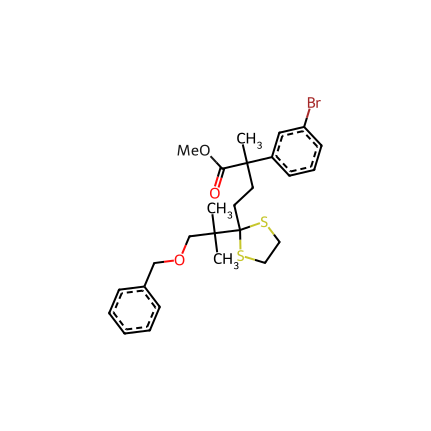 COC(=O)C(C)(CCC1(C(C)(C)COCc2ccccc2)SCCS1)c1cccc(Br)c1